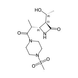 CC(C(=O)N1CCN(S(C)(=O)=O)CC1)[C@H]1NC(=O)[C@@H]1[C@@H](C)O